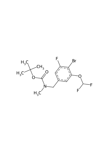 CN(Cc1cc(F)c(Br)c(OC(F)F)c1)C(=O)OC(C)(C)C